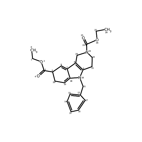 CCOC(=O)C1C=c2c3c(n(Cc4ccccc4)c2=CC1)CCN(C(=O)OCC)C3